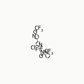 O=C(NCC(F)(F)c1ncc(-c2ccc(OCC(F)(F)F)nc2)cc1Cl)c1ccccc1C(F)(F)F